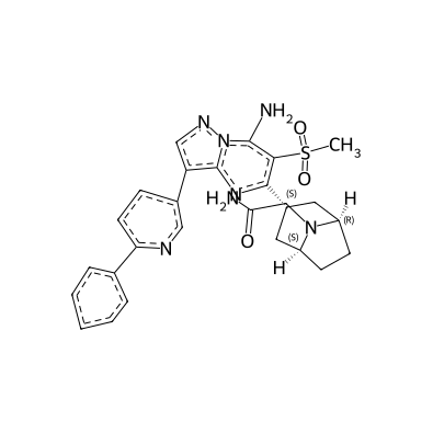 CS(=O)(=O)c1c([C@@H]2C[C@H]3CC[C@@H](C2)N3CC(N)=O)nc2c(-c3ccc(-c4ccccc4)nc3)cnn2c1N